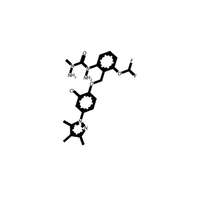 Cc1nn(-c2ccc(OCc3c(OC(F)F)cccc3N(N)C(=O)N(C)N)c(Cl)c2)c(C)c1C